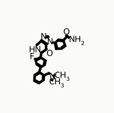 CN(C)Cc1ccccc1-c1ccc(C2NCc3ncn(-c4cccc(C(N)=O)c4)c3C2=O)c(F)c1